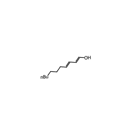 CCCCCCCC=CC=CO